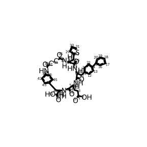 O=C(O)CC[C@@H]1NC(=O)[C@H](Cc2ccc(-c3ccccc3)cc2)NC(=O)[C@@H](Cc2cccs2)NC(=O)CCC(=O)Nc2ccc(cc2)C[C@@H](C(=O)O)NC1=O